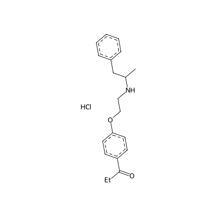 CCC(=O)c1ccc(OCCNC(C)Cc2ccccc2)cc1.Cl